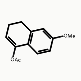 COc1ccc2c(c1)CCC=C2OC(C)=O